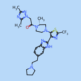 Cc1nc(C)n(CC(=O)N2CCN(c3sc(C(F)(F)F)nc3-c3nc4ccc(CCN5CCCC5)cc4[nH]3)C[C@H]2C)n1